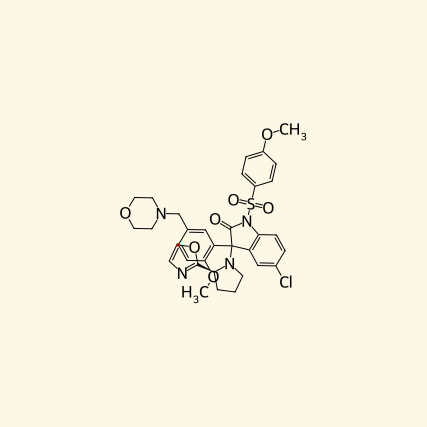 COc1ccc(S(=O)(=O)N2C(=O)C(c3cc(CN4CCOCC4)ccc3OC)(N3CCC[C@H]3c3ncco3)c3cc(Cl)ccc32)cc1